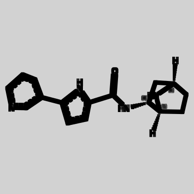 O=C(N[C@@H]1C[C@H]2CC[C@@H]1N2)c1ccc(-c2cccnc2)[nH]1